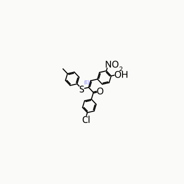 Cc1ccc(S/C(=C/c2ccc(O)c([N+](=O)[O-])c2)C(=O)c2ccc(Cl)cc2)cc1